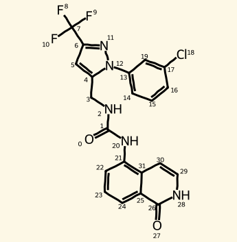 O=C(NCc1cc(C(F)(F)F)nn1-c1cccc(Cl)c1)Nc1cccc2c(=O)[nH]ccc12